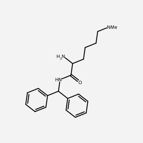 CNCCCCC(N)C(=O)NC(c1ccccc1)c1ccccc1